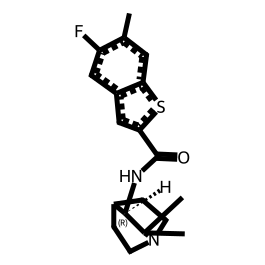 Cc1cc2sc(C(=O)N[C@@H]3C4CCN(CC4)C3(C)C)cc2cc1F